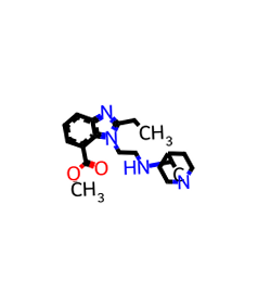 CCc1nc2cccc(C(=O)OC)c2n1CCNC1CN2CCC1CC2